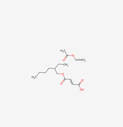 C=COC(C)=O.CCCCC(CC)COC(=O)C=CC(=O)O